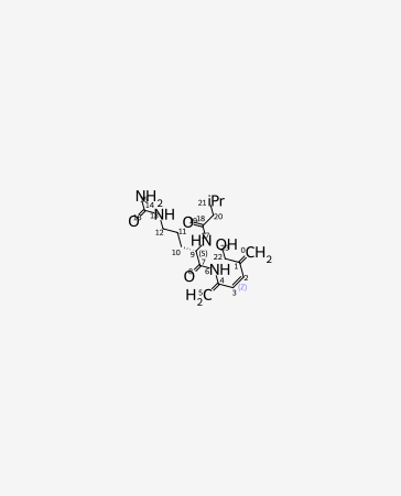 C=C(/C=C\C(=C)NC(=O)[C@H](CCCNC(N)=O)NC(=O)CC(C)C)CO